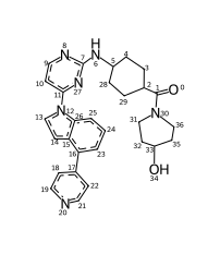 O=C(C1CCC(Nc2nccc(-n3ccc4c(-c5ccncc5)cccc43)n2)CC1)N1CCC(O)CC1